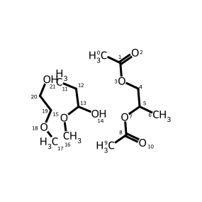 CC(=O)OCC(C)OC(C)=O.CCC(O)OC.COCCO